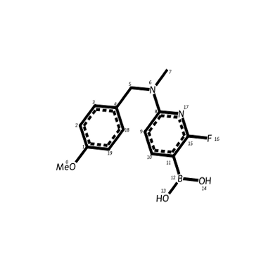 COc1ccc(CN(C)c2ccc(B(O)O)c(F)n2)cc1